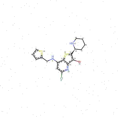 Clc1cc(NCc2cccs2)c2sc([C@@H]3CCCCN3)c(Br)c2n1